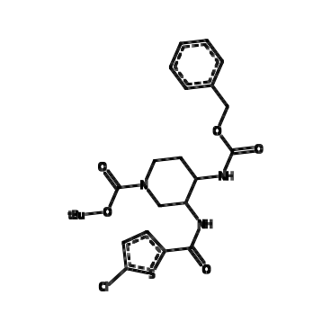 CC(C)(C)OC(=O)N1CCC(NC(=O)OCc2ccccc2)C(NC(=O)c2ccc(Cl)s2)C1